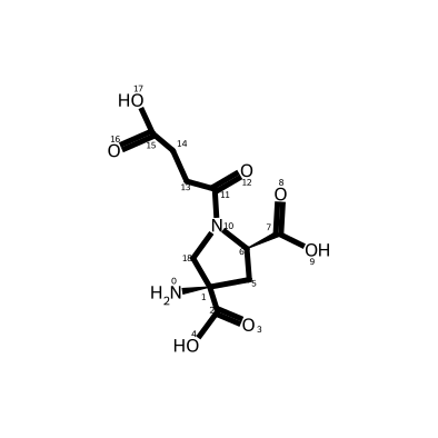 N[C@]1(C(=O)O)C[C@H](C(=O)O)N(C(=O)CCC(=O)O)C1